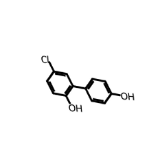 Oc1ccc(-c2cc(Cl)ccc2O)cc1